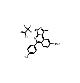 COc1ccc2c(-c3ccc(O)cc3)nc3[nH]nc(C)c3c2c1.O=C(O)C(F)(F)F